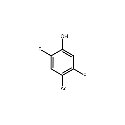 CC(=O)c1cc(F)c(O)cc1F